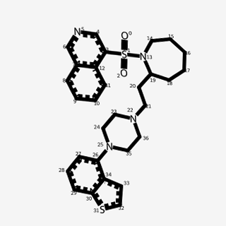 O=S(=O)(c1cncc2ccccc12)N1CCCCCC1CCN1CCN(c2cccc3sccc23)CC1